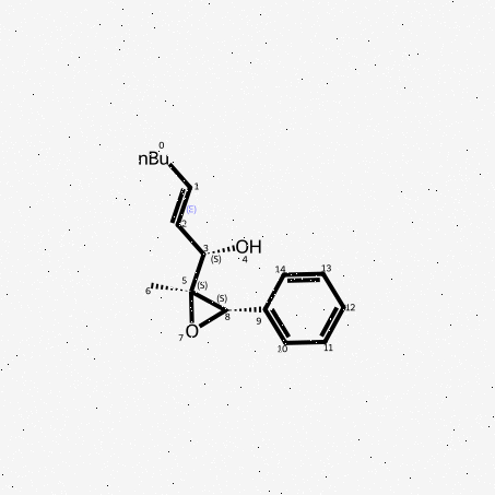 CCCC/C=C/[C@H](O)[C@]1(C)O[C@H]1c1ccccc1